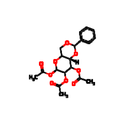 CC(=O)OC1C(OC(C)=O)[C@H]2OC(c3ccccc3)OCC2O[C@@H]1OC(C)=O